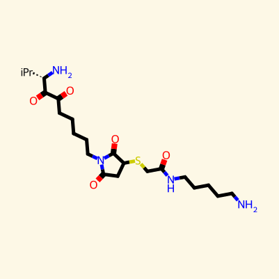 CC(C)[C@H](N)C(=O)C(=O)CCCCCN1C(=O)CC(SCC(=O)NCCCCCN)C1=O